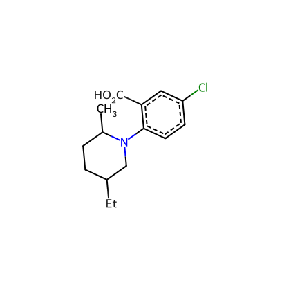 CCC1CCC(C)N(c2ccc(Cl)cc2C(=O)O)C1